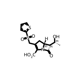 C[C@@H](O)[C@@H]1C(=O)N2C(C(=O)O)=C(CS(=O)(=O)c3cccs3)C[C@H]12